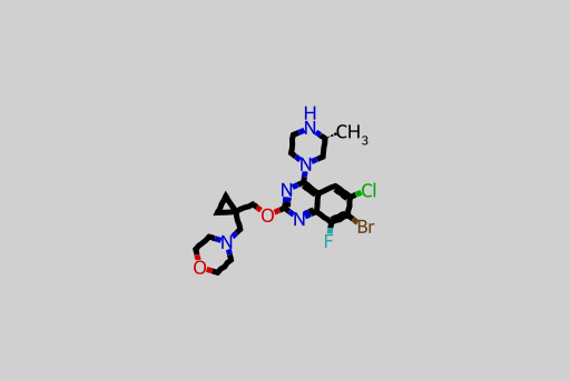 C[C@@H]1CN(c2nc(OCC3(CN4CCOCC4)CC3)nc3c(F)c(Br)c(Cl)cc23)CCN1